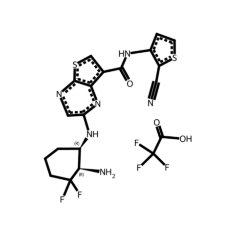 N#Cc1sccc1NC(=O)c1csc2ncc(N[C@@H]3CCCC(F)(F)[C@@H]3N)nc12.O=C(O)C(F)(F)F